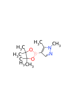 Cc1c(B2OC(C)(C)C(C)(C)O2)cnn1C